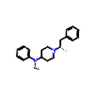 CC(=O)N(c1ccccc1)C1CCN([C@@H](C)Cc2ccccc2)CC1